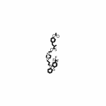 CC(=O)Oc1ccc(CC(C)C(=S)OCCN2CCN(CCCN3c4ccccc4Sc4ccc(C(F)(F)F)cc43)CC2)cc1